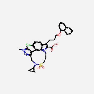 Cc1c2c(nn1C)CN(C1CC1)S(=O)(=O)CCCn1c(C(=O)O)c(CCCOc3cccc4ccccc34)c3ccc(Cl)c-2c31